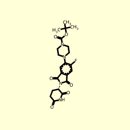 CC(C)(C)OC(=O)N1CCN(c2cc3c(cc2F)C(=O)N([C@H]2CCC(=O)NC2=O)C3=O)CC1